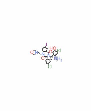 C[C@@H](c1cc(O)c(Cl)cc1N)N1C(=O)c2cc(I)ccc2N(CCN2CCOCC2)C(=O)[C@H]1c1ccc(Cl)cc1